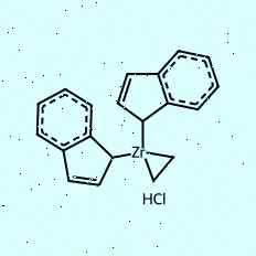 C1=C[CH]([Zr]2([CH]3C=Cc4ccccc43)[CH2][CH2]2)c2ccccc21.Cl